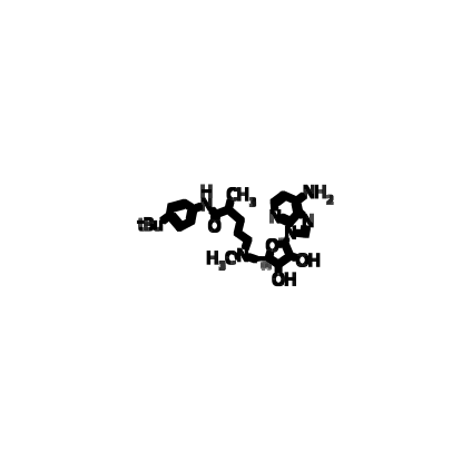 CC(CCCN(C)C[C@H]1O[C@@H](n2cnc3c(N)ccnc32)C(O)C1O)C(=O)Nc1ccc(C(C)(C)C)cc1